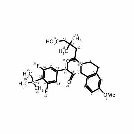 COc1ccc2c(c1)CCN(C(=O)CC(C)(C)CC(=O)O)[C@H]2C(=O)Nc1cc(F)c([Si](C)(C)C)c(F)c1